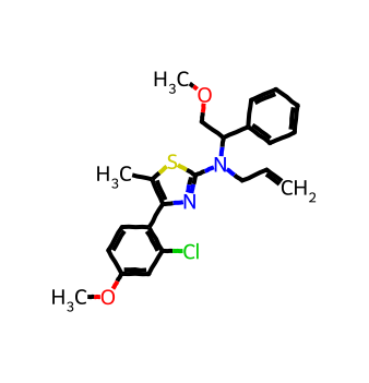 C=CCN(c1nc(-c2ccc(OC)cc2Cl)c(C)s1)C(COC)c1ccccc1